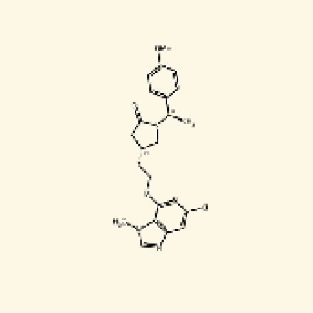 COc1ccc([C@@H](C)N2C[C@H](CCOc3nc(Cl)cc4ncn(C)c34)CC2=O)cc1